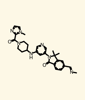 C/N=C/c1ccc2c(c1)C(C)(C)N(c1cncc(NC3CCN(C(=O)c4nccn4C)CC3)c1)C2=O